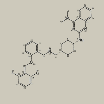 CN(C)c1nc(N[C@H]2CC[C@@H](CNCc3ccccc3OCc3c(F)cccc3Cl)CC2)nc2ccccc12